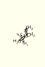 CCOC(=O)c1cc2c(-c3cc4cc5c(OCC)c6cc7sc(C)cc7cc6c(OCC)c5cc4s3)sc(C)c2s1